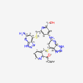 COC(=O)c1ncccc1CSc1cc(N)nc2[nH]nnc12.Nc1cc(SCc2cccc(CO)n2)c2nn[nH]c2n1